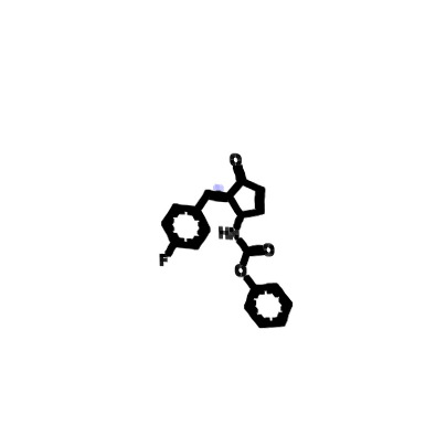 O=C(NC1C=CC(=O)/C1=C/c1ccc(F)cc1)Oc1ccccc1